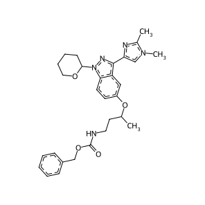 Cc1nc(-c2nn(C3CCCCO3)c3ccc(OC(C)CCNC(=O)OCc4ccccc4)cc23)cn1C